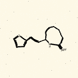 N=C1CCCCC(C=Cc2cccs2)N1